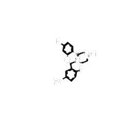 O=C(c1cc(Br)ccc1F)N1CCNC[C@@H]1c1ccc(F)cc1